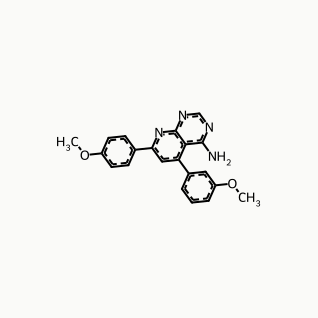 COc1ccc(-c2cc(-c3cccc(OC)c3)c3c(N)ncnc3n2)cc1